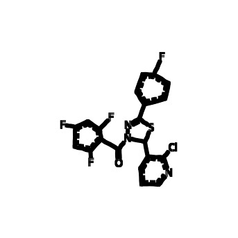 O=C(c1c(F)cc(F)cc1F)N1N=C(c2ccc(F)cc2)SC1c1cccnc1Cl